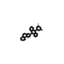 Fc1cc(F)cc(-c2c3ccccc3c(-c3ccc4c(ccc5ccccc54)c3)c3ccccc23)c1